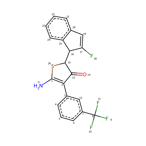 NC1=C(c2cccc(C(F)(F)F)c2)C(=O)C(C2C(F)=Cc3ccccc32)S1